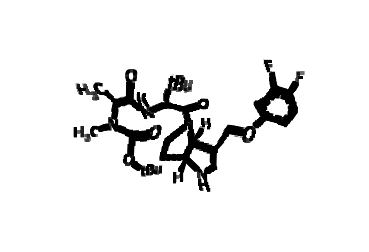 C[C@@H](C(=O)N[C@H](C(=O)N1CC[C@H]2NC[C@H](COc3ccc(F)c(F)c3)[C@H]21)C(C)(C)C)N(C)C(=O)OC(C)(C)C